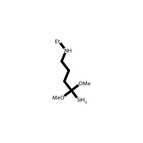 CCNCCCC([SiH3])(OC)OC